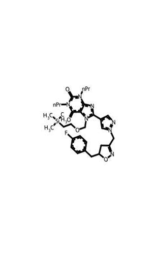 CCCn1c(=O)c2c(nc(-c3cnn(CC4=NOC(Cc5ccc(F)cc5)C4)c3)n2COCC[Si](C)(C)C)n(CCC)c1=O